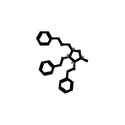 C[C@@H]1O[C@H](COCc2ccccc2)[C@@H](OCc2ccccc2)[C@H]1OCc1ccccc1